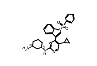 N[C@H]1CCC[C@@H](Nc2ncc(C3CC3)c(-c3cn(S(=O)(=O)c4ccccc4)c4ccccc34)n2)C1